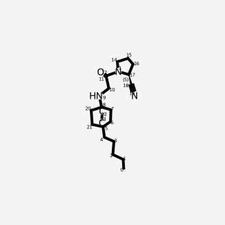 CCCCCC12CCC(NCC(=O)N3CCC[C@H]3C#N)(CC1)CC2